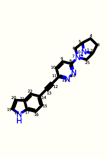 CN1C2CCC1CN(c1ccc(C#Cc3ccc4[nH]ccc4c3)nn1)C2